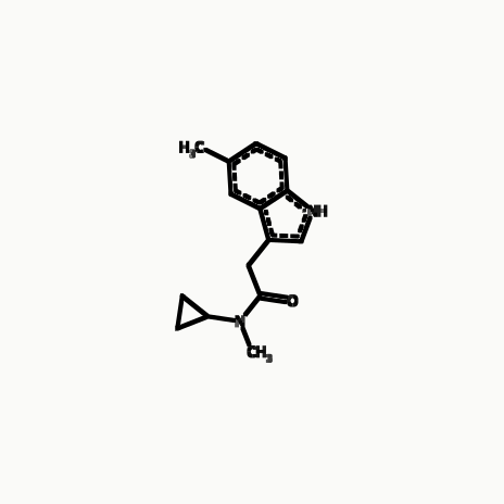 Cc1ccc2[nH]cc(CC(=O)N(C)C3CC3)c2c1